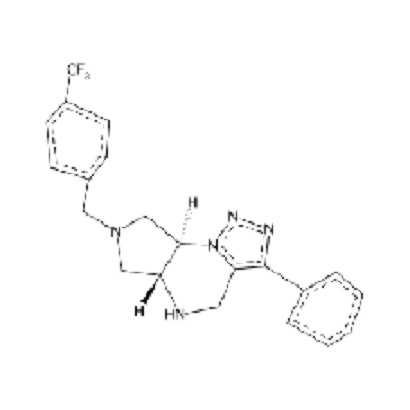 FC(F)(F)c1ccc(CN2C[C@@H]3[C@@H](C2)NCc2c(-c4ccccc4)nnn23)cc1